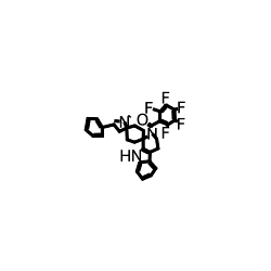 CN(C)C1(CCc2ccccc2)CCC2(CC1)c1[nH]c3ccccc3c1CCN2C(=O)c1c(F)c(F)c(F)c(F)c1F